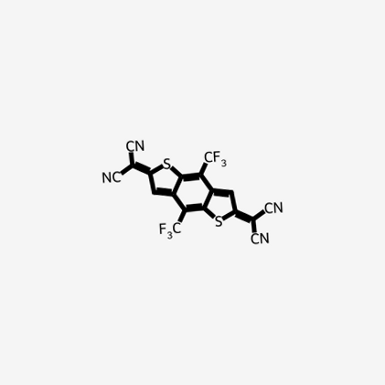 N#CC(C#N)=c1cc2c(C(F)(F)F)c3sc(=C(C#N)C#N)cc3c(C(F)(F)F)c2s1